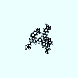 COC(=O)/C=C/c1cncc(N(Cc2cccc3cc4cnn(C)c4cc23)C(=O)C2CCCC(c3ccc(/C=C/C(=O)OC)cc3N(Cc3ccc(-c4ccc5c(cnn5C)c4)cc3)C(=O)[C@H]3C[C@H]4CC[C@@H]3C4)C2)c1